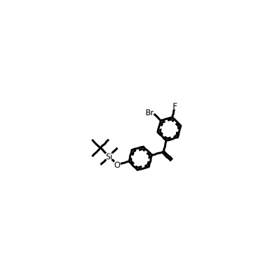 C=C(c1ccc(O[Si](C)(C)C(C)(C)C)cc1)c1ccc(F)c(Br)c1